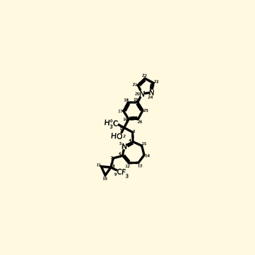 CC(O)(CC1=NC(CC2(C(F)(F)F)CC2)=CCCC1)c1ccc(-n2cccn2)cc1